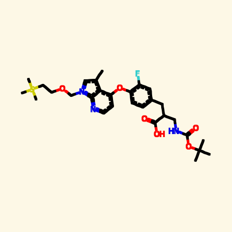 Cc1cn(COCCS(C)(C)C)c2nccc(Oc3ccc(CC(CNC(=O)OC(C)(C)C)C(=O)O)cc3F)c12